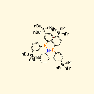 CCCC[Si](CCCC)(CCCC)c1cccc(P(c2cccc([Si](CCCC)(CCCC)CCCC)c2)N(C2CCCCC2)P(c2ccc([Si](CCC)(CCC)CCC)cc2)c2ccc([Si](CCC)(CCC)CCC)cc2)c1